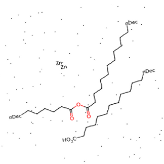 CCCCCCCCCCCCCCCCCCCCCC(=O)O.CCCCCCCCCCCCCCCCCCCCCC(=O)OC(=O)CCCCCCCCCCCCCCC.[Zn].[Zn]